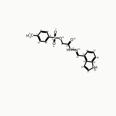 Cc1ccc(S(=O)(=O)OCC(=O)NN=Cc2cccc3[nH]ccc23)cc1